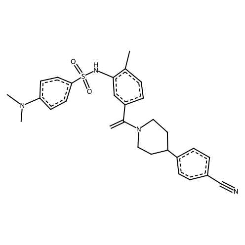 C=C(c1ccc(C)c(NS(=O)(=O)c2ccc(N(C)C)cc2)c1)N1CCC(c2ccc(C#N)cc2)CC1